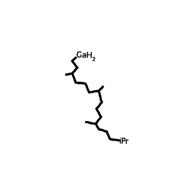 CC(C)CCCC(C)CCCC(C)CCCC(C)C[CH2][GaH2]